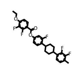 CCOc1ccc(C(=O)Oc2ccc(C3CCC(c4ccc(C)c(F)c4F)CC3)c(F)c2)c(F)c1F